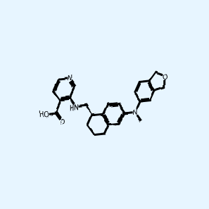 CN(c1ccc2c(c1)COC2)c1ccc2c(c1)CCC[C@H]2CNc1cnccc1C(=O)O